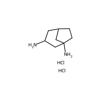 Cl.Cl.NC1CC2CCC(N)(C1)C2